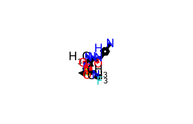 Cn1nc(C(=O)NCc2ccc(C#N)cc2)c2c1C(=O)N(CC1(S(=O)(=O)C(C)(C)CN3CC(F)C3)CC1)CC2